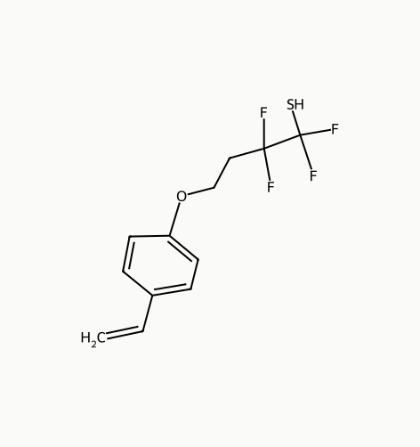 C=Cc1ccc(OCCC(F)(F)C(F)(F)S)cc1